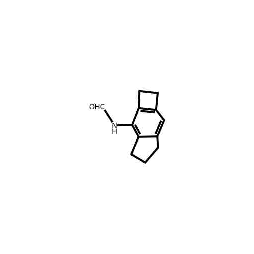 O=CNc1c2c(cc3c1CC3)CCC2